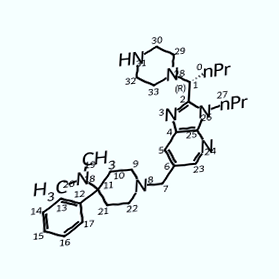 CCC[C@H](c1nc2cc(CN3CCC(c4ccccc4)(N(C)C)CC3)cnc2n1CCC)N1CCNCC1